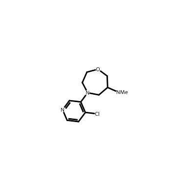 CNC1COCCN(c2cnccc2Cl)C1